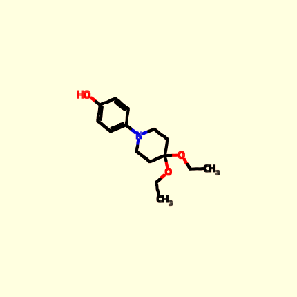 CCOC1(OCC)CCN(c2ccc(O)cc2)CC1